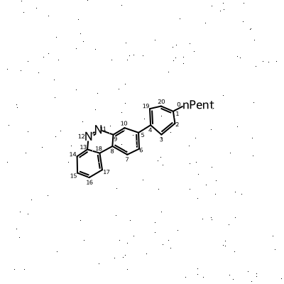 CCCCCc1ccc(-c2ccc3c(c2)nnc2ccccc23)cc1